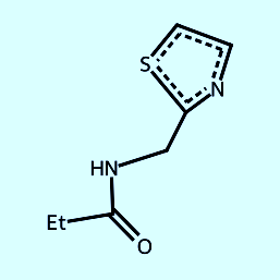 [CH2]CC(=O)NCc1nccs1